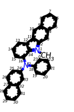 Cn1c2cc3ccccc3cc2c2cccc(N(c3ccccc3)c3ccc4ccccc4c3)c21